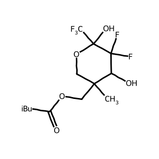 CCC(C)C(=O)OCC1(C)COC(O)(C(F)(F)F)C(F)(F)C1O